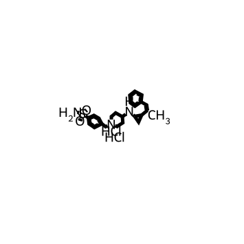 CC(=Cc1ccccc1)C1CC1NC1CCN(Cc2ccc(S(N)(=O)=O)cc2)CC1.Cl.Cl